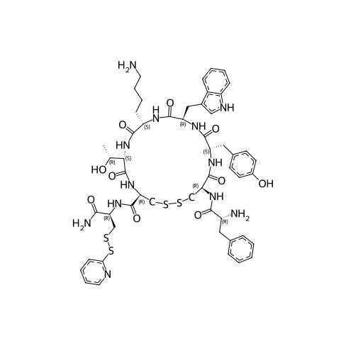 C[C@@H](O)[C@@H]1NC(=O)[C@H](CCCCN)NC(=O)[C@@H](Cc2c[nH]c3ccccc23)NC(=O)[C@H](Cc2ccc(O)cc2)NC(=O)[C@@H](NC(=O)[C@H](N)Cc2ccccc2)CSSC[C@@H](C(=O)N[C@@H](CSSc2ccccn2)C(N)=O)NC1=O